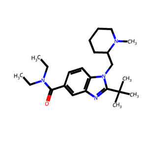 CCN(CC)C(=O)c1ccc2c(c1)nc(C(C)(C)C)n2CC1CCCCN1C